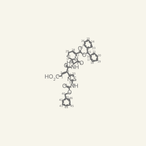 O=C(O)CC=C(C(=O)N[C@@H]1C(=O)N2C(C(=O)OC(c3ccccc3)c3ccccc3)=CCS[C@@H]12)c1csc(NC(=O)OCc2ccccc2)n1